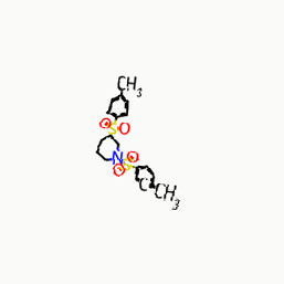 Cc1ccc(S(=O)(=O)C2CCCN(S(=O)(=O)c3ccc(C)cc3)C2)cc1